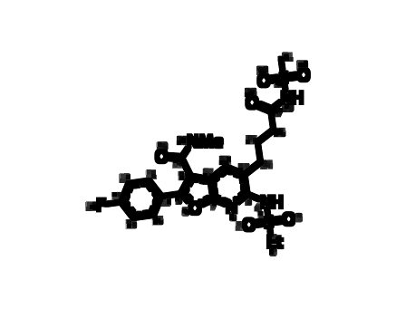 CCS(=O)(=O)Nc1nc2oc(-c3ccc(F)cc3)c(C(=O)NC)c2cc1CCCC(=O)NS(C)(=O)=O